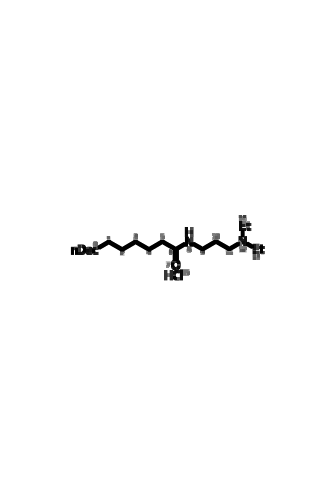 CCCCCCCCCCCCCCCC(=O)NCCCN(CC)CC.Cl